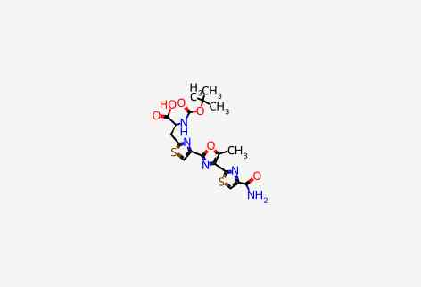 Cc1oc(-c2csc(C[C@H](NC(=O)OC(C)(C)C)C(=O)O)n2)nc1-c1nc(C(N)=O)cs1